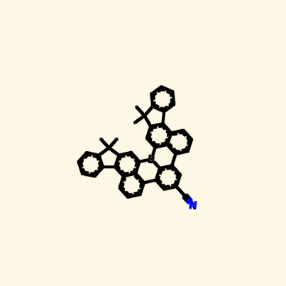 CC1(C)c2ccccc2-c2c1cc1c3c(cccc23)-c2cc(C#N)cc3c2B1c1cc2c(c4cccc-3c14)-c1ccccc1C2(C)C